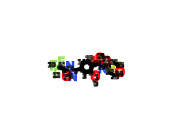 COc1cc(-c2noc(C(F)(F)F)n2)ccc1C(=O)N=[SH]1(O)CCOCC1